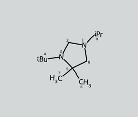 CC(C)N1CN(C(C)(C)C)C(C)(C)C1